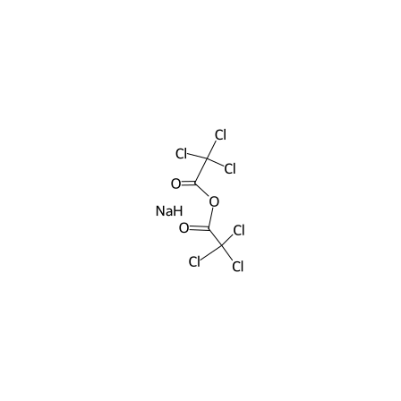 O=C(OC(=O)C(Cl)(Cl)Cl)C(Cl)(Cl)Cl.[NaH]